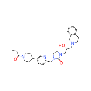 CCC(=O)N1CCC(c2ccc(CN3CCN(C[C@H](O)CN4CCc5ccccc5C4)C3=O)nc2)CC1